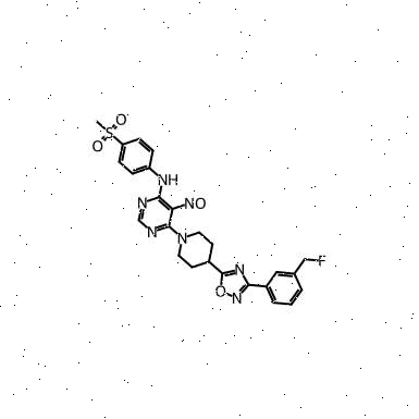 CS(=O)(=O)c1ccc(Nc2ncnc(N3CCC(c4nc(-c5cccc(CF)c5)no4)CC3)c2N=O)cc1